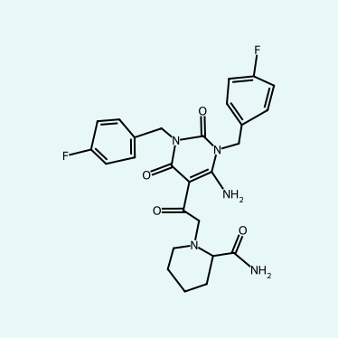 NC(=O)C1CCCCN1CC(=O)c1c(N)n(Cc2ccc(F)cc2)c(=O)n(Cc2ccc(F)cc2)c1=O